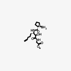 BN1CCC[C@H]1C(=O)N[C@@H](CCCC=C)C(O)C(=O)NCC(=O)OC